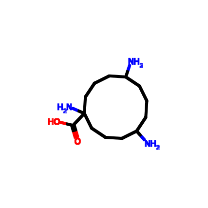 NC1CCCC(N)CCCC(N)(C(=O)O)CCC1